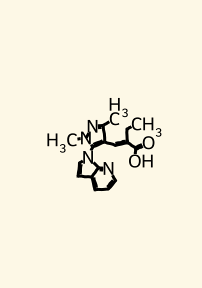 CCC(=Cc1c(C)nn(C)c1-n1ccc2cccnc21)C(=O)O